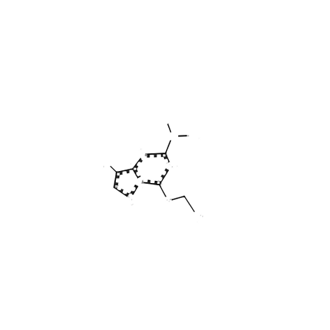 C[S+]([O-])c1nc(NCC#N)n2ncc(C(F)(F)F)c2n1